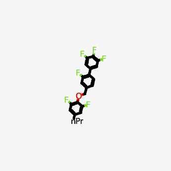 CCCc1cc(F)c(OCc2ccc(-c3cc(F)c(F)c(F)c3)c(F)c2)c(F)c1